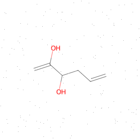 C=CCC(O)C(=C)O